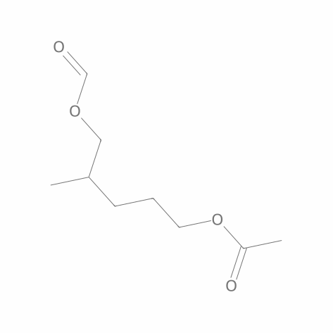 CC(=O)OCCCC(C)COC=O